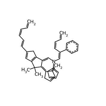 C=C/C=C\C=CC1=CC2=C(C1)C(=C/N(/C=C(\C=C/C=C)c1ccccc1)C1=CC=CC1)/C(=C1/CC=CC1=C)C2(C)C